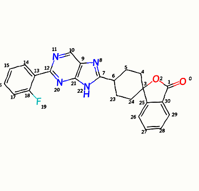 O=C1OC2(CCC(c3nc4cnc(-c5ccccc5F)nc4[nH]3)CC2)c2ccccc21